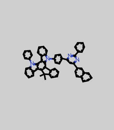 CC1(C)c2ccccc2-c2c1c1c3ccccc3n(-c3ccccc3)c1c1c3ccccc3n(-c3ccc(-c4cc(-c5ccc6ccccc6c5)nc(-c5ccccc5)n4)cc3)c21